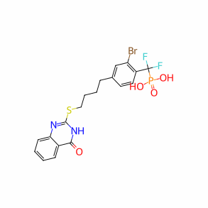 O=c1[nH]c(SCCCCc2ccc(C(F)(F)P(=O)(O)O)c(Br)c2)nc2ccccc12